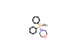 CC(C)(C)[PH](c1ccccc1)(c1ccccc1)N1CCOCC1